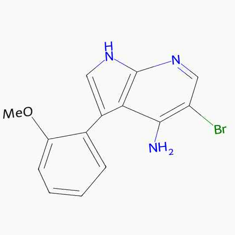 COc1ccccc1-c1c[nH]c2ncc(Br)c(N)c12